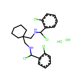 Cl.Cl.Clc1ccccc1C(Cl)NCC1(CNC(Cl)c2ccccc2Cl)CCCCC1